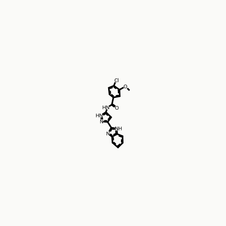 COc1cc(C(=O)Nc2cc(-c3nc4ccccc4[nH]3)n[nH]2)ccc1Cl